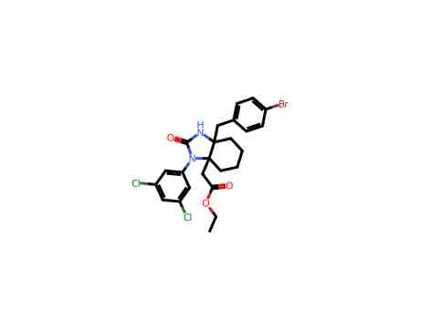 CCOC(=O)CC12CCCCC1(Cc1ccc(Br)cc1)NC(=O)N2c1cc(Cl)cc(Cl)c1